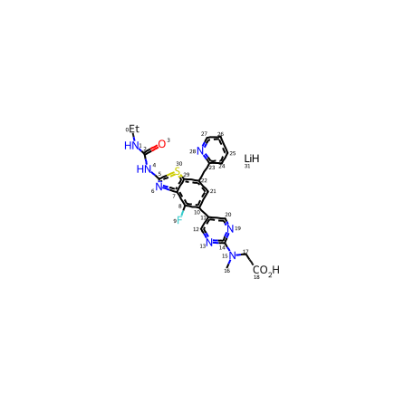 CCNC(=O)Nc1nc2c(F)c(-c3cnc(N(C)CC(=O)O)nc3)cc(-c3ccccn3)c2s1.[LiH]